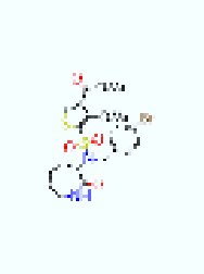 COC(=O)c1csc(S(=O)(=O)N(Cc2ccc(Br)cc2)C2CCCCNC2=O)c1OC